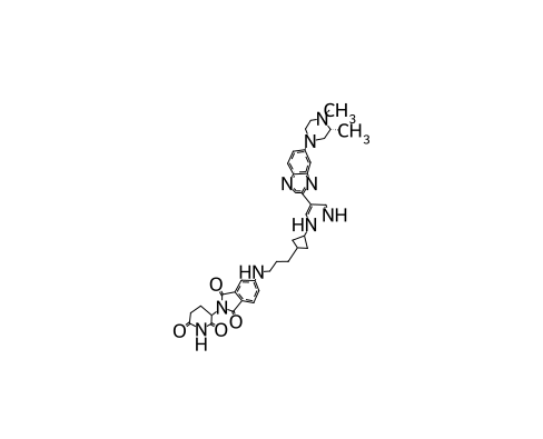 C[C@@H]1CN(c2ccc3ncc(/C(C=N)=C/NC4CC(CCCNc5ccc6c(c5)C(=O)N(C5CCC(=O)NC5=O)C6=O)C4)nc3c2)CCN1C